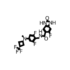 CN(c1cc(F)c(CNC(=O)c2cc3[nH]c(=O)[nH]c3cc2F)c(F)c1)[C@H]1C[C@@H](C(F)(F)F)C1